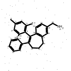 Cc1cc(F)c(C2=C(c3ccccc3)CCCc3cc(CN)ccc32)c(F)c1